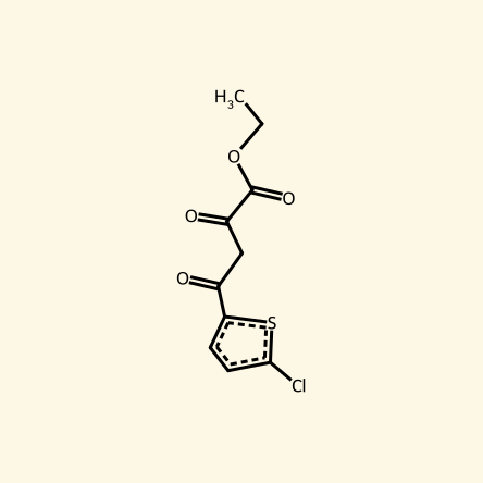 CCOC(=O)C(=O)CC(=O)c1ccc(Cl)s1